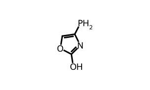 Oc1nc(P)co1